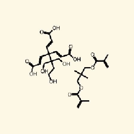 C=C(C)C(=O)OCC(C)(C)COC(=O)C(=C)C.O=C(O)C=CC(C=CC(=O)O)(C=CC(=O)O)C(CO)(CO)CCO